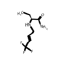 CC[C@H](NCC=CC(F)(F)F)C(N)=O